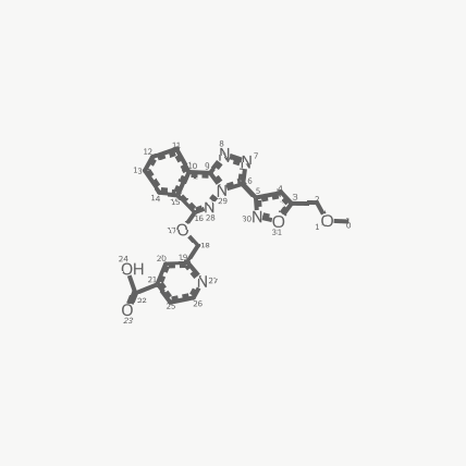 COCc1cc(-c2nnc3c4ccccc4c(OCc4cc(C(=O)O)ccn4)nn23)no1